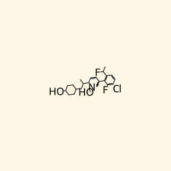 CC(F)c1ccc(Cl)c(F)c1-c1ccc(C(C)CC2CCC(O)CC2)[n+](O)c1